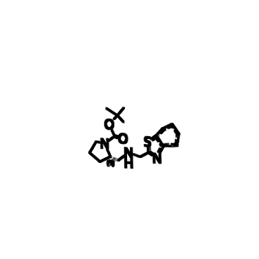 CC(C)(C)OC(=O)N1CCC[C@H]1CNCc1nc2ccccc2s1